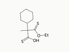 CCOC(=S)C(C)(C(O)=S)C1CCCCC1